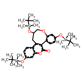 CC(C)(C)[Si](C)(C)Oc1ccc2c(c1)OCC(O[Si](C)(C)C(C)(C)C)Cc1c-2c(=O)oc2cc(O[Si](C)(C)C(C)(C)C)ccc12